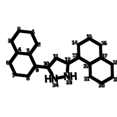 C1CCC2C(C1)CCCC2C1CC(C2CCCC3CCCCC32)NN1